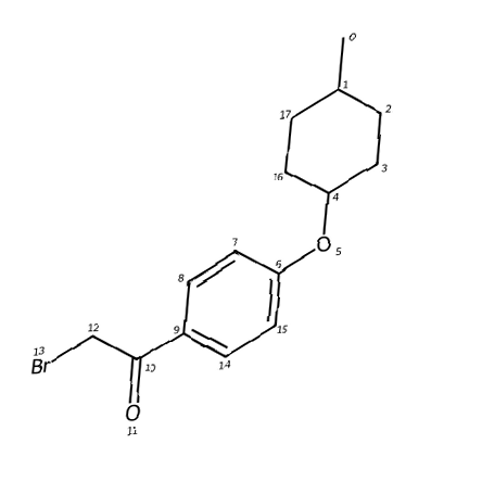 CC1CCC(Oc2ccc(C(=O)CBr)cc2)CC1